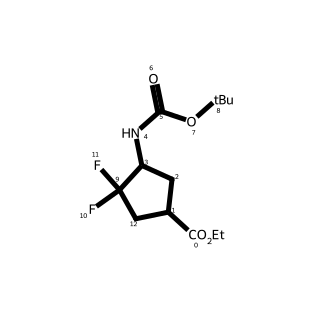 CCOC(=O)C1CC(NC(=O)OC(C)(C)C)C(F)(F)C1